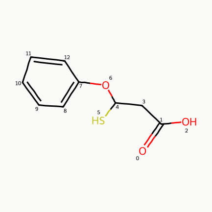 O=C(O)CC(S)Oc1ccccc1